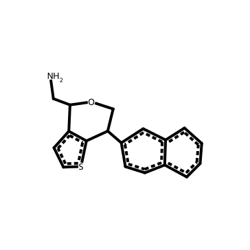 NCC1OCC(c2ccc3ccccc3c2)c2sccc21